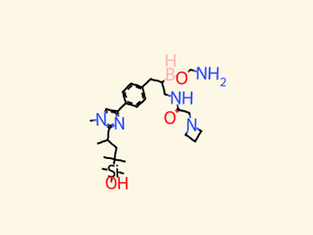 CC(CC(C)(C)[Si](C)(C)O)c1nc(-c2ccc(CC(BOCN)CNC(=O)CN3CCC3)cc2)cn1C